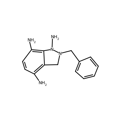 Nc1ccc(N)c2c1CN(Cc1ccccc1)N2N